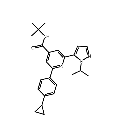 CC(C)n1nccc1-c1cc(C(=O)NC(C)(C)C)cc(-c2ccc(C3CC3)cc2)n1